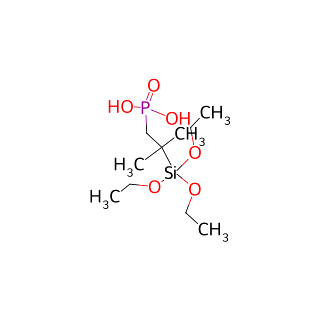 CCO[Si](OCC)(OCC)C(C)(C)CP(=O)(O)O